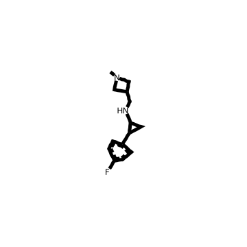 CN1CC(CNC2CC2c2ccc(F)cc2)C1